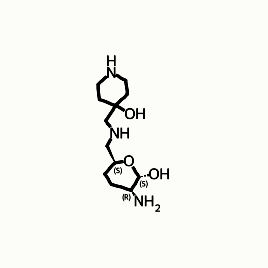 N[C@@H]1CC[C@@H](CNCC2(O)CCNCC2)O[C@@H]1O